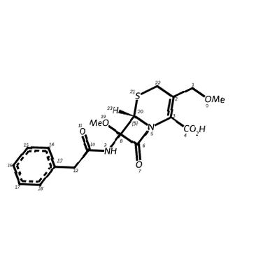 COCC1=C(C(=O)O)N2C(=O)C(NC(=O)Cc3ccccc3)(OC)[C@@H]2SC1